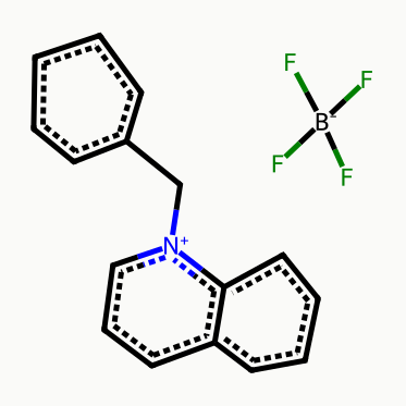 F[B-](F)(F)F.c1ccc(C[n+]2cccc3ccccc32)cc1